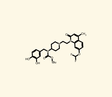 Cc1cc(=O)n(CCN2CCC(N(Cc3ccc(O)c(O)c3)C(=O)OC(C)(C)C)CC2)c2cc(OC(F)F)ccc12